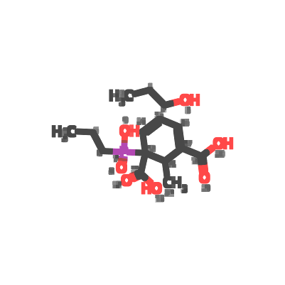 CCCO.CCCP(=O)(O)C1(C(=O)O)C=CC=C(C(=O)O)C1C